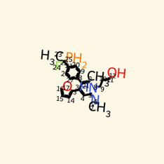 C/C=C(/C(=C\C(=N/C)NCCCO)c1ccco1)c1ccc(C(C)(F)P)cc1